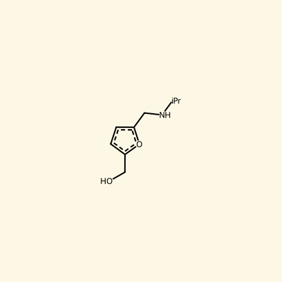 CC(C)NCc1ccc(CO)o1